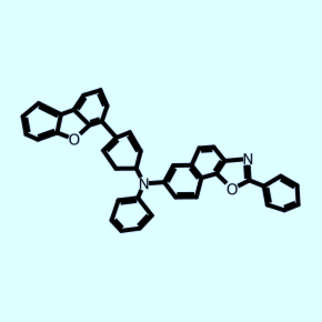 C1=CC(N(c2ccccc2)c2ccc3c(ccc4nc(-c5ccccc5)oc43)c2)CC=C1c1cccc2c1oc1ccccc12